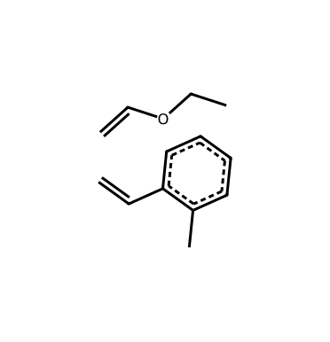 C=COCC.C=Cc1ccccc1C